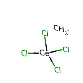 [CH3].[Cl][Ge]([Cl])([Cl])[Cl]